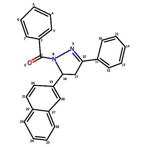 O=C(c1ccccc1)N1N=C(c2ccccc2)CC1c1ccc2ccccc2c1